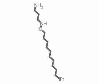 CC(C)CCCCCCCCCCONCCCN